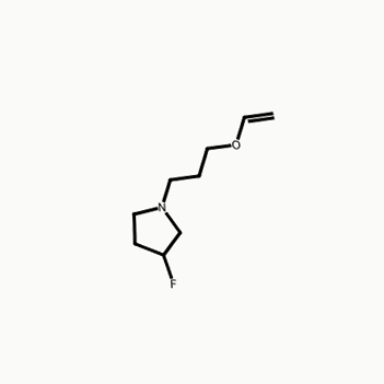 C=COCCCN1CCC(F)C1